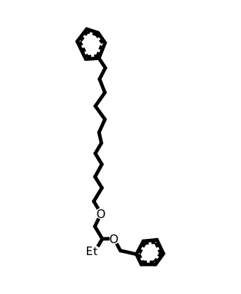 CCC(COCCCCCCCCCCCCc1ccccc1)OCc1ccccc1